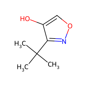 CC(C)(C)c1nocc1O